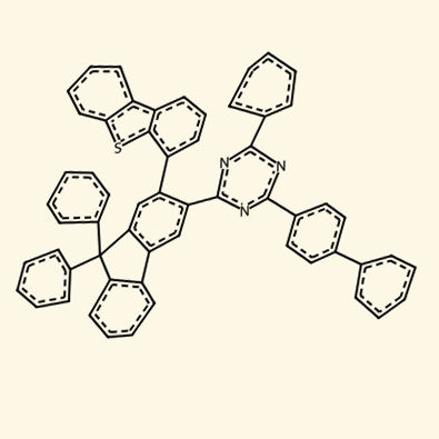 c1ccc(-c2ccc(-c3nc(-c4ccccc4)nc(-c4cc5c(cc4-c4cccc6c4sc4ccccc46)C(c4ccccc4)(c4ccccc4)c4ccccc4-5)n3)cc2)cc1